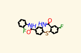 O=C(Nc1ccccc1F)c1ccc2c(c1)NC(=O)c1cc(F)ccc1S2